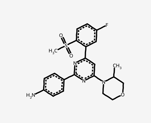 CC1COCCN1c1cc(-c2cc(F)ccc2S(C)(=O)=O)nc(-c2ccc(N)cc2)n1